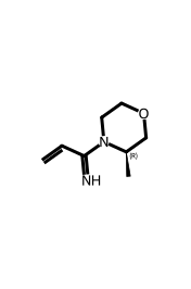 C=CC(=N)N1CCOC[C@H]1C